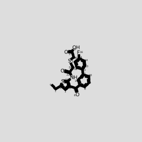 CCc1cc(C(=O)c2cccc(-c3ccc(F)cc3)c2)c(NC(=O)CSCC(=O)O)s1